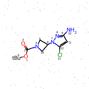 CC(C)(C)OC(=O)N1CC(n2nc(N)cc2Cl)C1